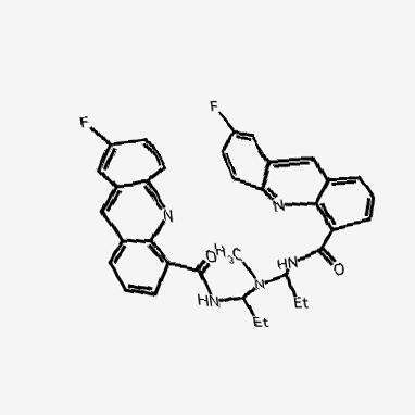 CCC(NC(=O)c1cccc2cc3cc(F)ccc3nc12)N(C)C(CC)NC(=O)c1cccc2cc3cc(F)ccc3nc12